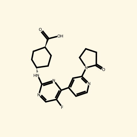 O=C1CCCN1c1cc(-c2nc(N[C@H]3CC[C@H](C(=O)O)CC3)ncc2F)ccn1